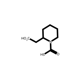 O=C(O)CC1CCCCN1C(=O)S